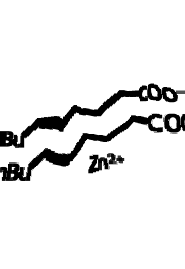 CCCCC=CCCCC(=O)[O-].CCCCC=CCCCC(=O)[O-].[Zn+2]